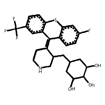 OC1CC(CC2CNCCC2=C2c3ccc(F)cc3Sc3ccc(C(F)(F)F)cc32)CC(O)C1O